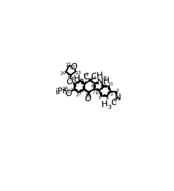 C/N=C\c1ccc2c3c([nH]c2c1)C(C)(C)c1cc(OC2CCOC2)c(OC(C)C)cc1C3=O